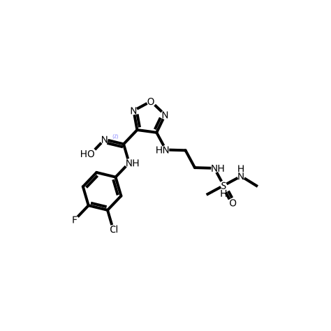 CN[SH](C)(=O)NCCNc1nonc1/C(=N/O)Nc1ccc(F)c(Cl)c1